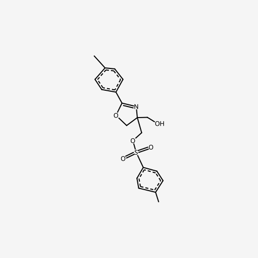 Cc1ccc(C2=NC(CO)(COS(=O)(=O)c3ccc(C)cc3)CO2)cc1